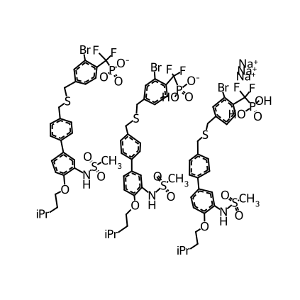 CC(C)CCOc1ccc(-c2ccc(CSCc3ccc(C(F)(F)P(=O)(O)O)c(Br)c3)cc2)cc1NS(C)(=O)=O.CC(C)CCOc1ccc(-c2ccc(CSCc3ccc(C(F)(F)P(=O)([O-])O)c(Br)c3)cc2)cc1NS(C)(=O)=O.CC(C)CCOc1ccc(-c2ccc(CSCc3ccc(C(F)(F)P(=O)([O-])[O-])c(Br)c3)cc2)cc1NS(C)(=O)=O.[Na+].[Na+].[Na+]